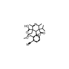 COCCC1(C(=O)O)C(C)=NC(C)C(C(=O)O)(C(C)C)C1c1cccc(C#N)c1Cl